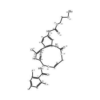 Cc1cc(F)c(C(=O)N[C@H]2CC=CCCC(=O)Nc3cc(NC(=O)OCCOC(C)(C)C)ccc3-c3nc2[nH]c3Cl)c(F)c1